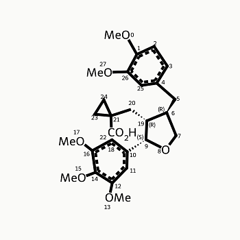 COc1ccc(C[C@H]2CO[C@H](c3cc(OC)c(OC)c(OC)c3)[C@@H]2CC2(C(=O)O)CC2)cc1OC